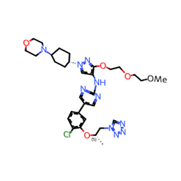 COCCOCCOc1nn([C@H]2CC[C@H](N3CCOCC3)CC2)cc1Nc1ncc(-c2ccc(Cl)c(O[C@@H](C)Cn3cnnn3)c2)cn1